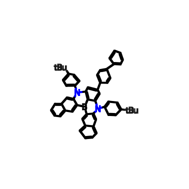 CC(C)(C)c1ccc(N2c3cc4ccccc4cc3B3c4cc5ccccc5cc4N(c4ccc(C(C)(C)C)cc4)c4cc(-c5ccc(-c6ccccc6)cc5)cc2c43)cc1